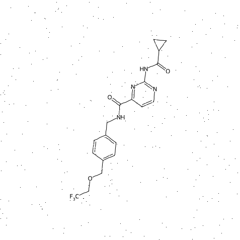 O=C(NCc1ccc(COCC(F)(F)F)cc1)c1ccnc(NC(=O)C2CC2)n1